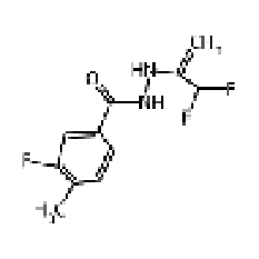 C=C(NNC(=O)c1ccc(C)c(F)c1)C(F)F